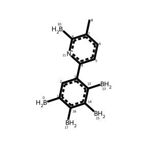 Bc1cc(-c2ccc(C)c(B)n2)c(B)c(B)c1B